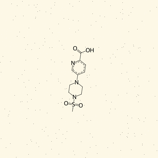 CS(=O)(=O)N1CCN(c2ccc(C(=O)O)nc2)CC1